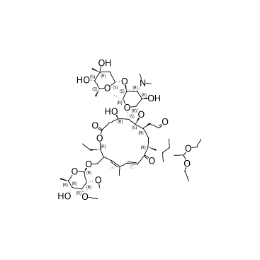 CCCC.CCOC(C)OCC.CC[C@H]1OC(=O)C[C@@H](O)[C@H](C)[C@@H](O[C@@H]2O[C@H](C)[C@@H](O[C@H]3C[C@@](C)(O)[C@@H](O)[C@H](C)O3)[C@H](N(C)C)[C@H]2O)[C@@H](CC=O)C[C@@H](C)C(=O)/C=C/C(C)=C/C1CO[C@@H]1O[C@H](C)[C@@H](O)[C@@H](OC)[C@H]1OC